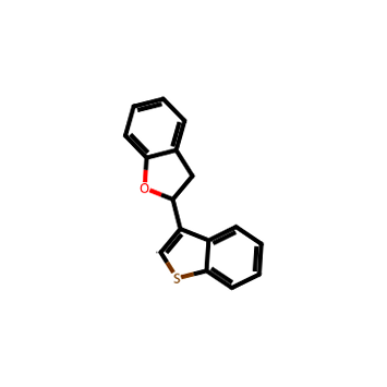 [c]1sc2ccccc2c1C1Cc2ccccc2O1